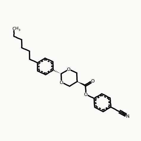 CCCCCCc1ccc([C@H]2OC[C@H](C(=O)Oc3ccc(C#N)cc3)CO2)cc1